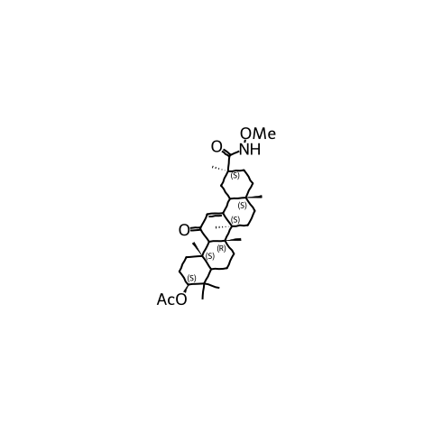 CONC(=O)[C@@]1(C)CC[C@]2(C)CC[C@]3(C)C(=CC(=O)C4[C@@]5(C)CC[C@H](OC(C)=O)C(C)(C)C5CC[C@]43C)C2C1